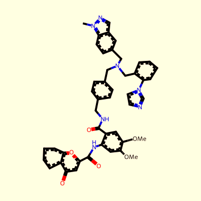 COc1cc(NC(=O)c2cc(=O)c3ccccc3o2)c(C(=O)NCc2ccc(CN(Cc3ccc4c(cnn4C)c3)Cc3ccccc3-n3ccnc3)cc2)cc1OC